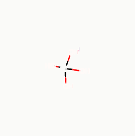 I.O[Si](O)(O)O